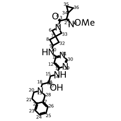 CON=C(C(=O)N1CC2(CC(Nc3cc(NC[C@H](O)CN4CCc5ccccc5C4)ncn3)C2)C1)C1CC1